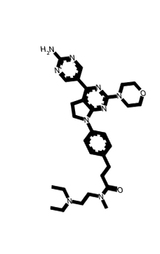 CCN(CC)CCN(C)C(=O)CCc1ccc(N2CCc3c(-c4cnc(N)nc4)nc(N4CCOCC4)nc32)cc1